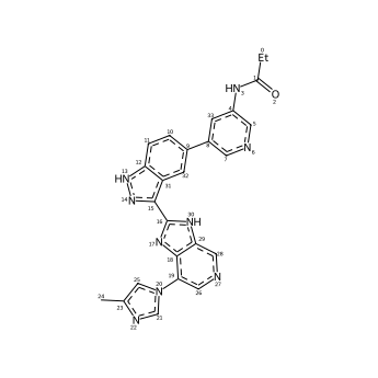 CCC(=O)Nc1cncc(-c2ccc3[nH]nc(-c4nc5c(-n6cnc(C)c6)cncc5[nH]4)c3c2)c1